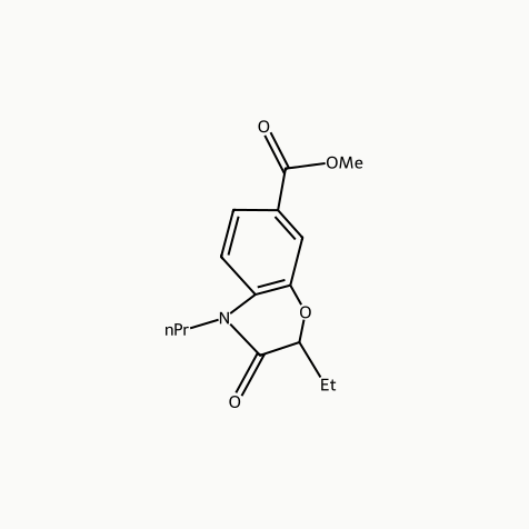 CCCN1C(=O)C(CC)Oc2cc(C(=O)OC)ccc21